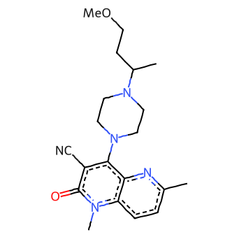 COCCC(C)N1CCN(c2c(C#N)c(=O)n(C)c3ccc(C)nc23)CC1